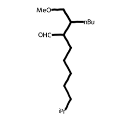 CCCCC(COC)C(C=O)CCCCCC(C)C